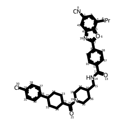 [C-]#[N+]c1cc(C(C)C)c2oc(-c3ccc(C(=O)NCC4CCN(C(=O)C5CCC(c6ccc(Cl)cc6)CC5)CC4)cc3)nc2c1